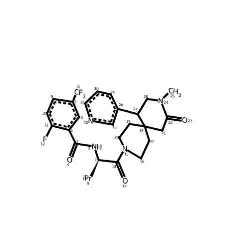 CC(C)[C@@H](NC(=O)c1cc(C(F)(F)F)ccc1F)C(=O)N1CCC2(CC1)CC(=O)N(C)CC2c1cccnc1